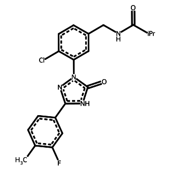 Cc1ccc(-c2nn(-c3cc(CNC(=O)C(C)C)ccc3Cl)c(=O)[nH]2)cc1F